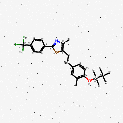 Cc1cc([Se]Cc2sc(-c3ccc(C(F)(F)F)cc3)nc2C)ccc1O[Si](C)(C)C(C)(C)C